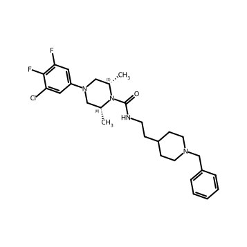 C[C@@H]1CN(c2cc(F)c(F)c(Cl)c2)C[C@H](C)N1C(=O)NCCC1CCN(Cc2ccccc2)CC1